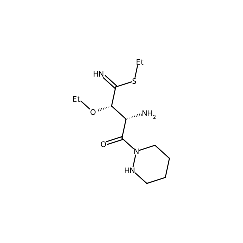 CCO[C@H](C(=N)SCC)[C@H](N)C(=O)N1CCCCN1